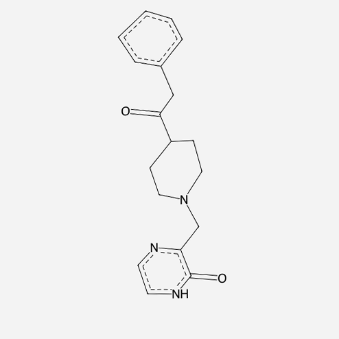 O=C(Cc1ccccc1)C1CCN(Cc2ncc[nH]c2=O)CC1